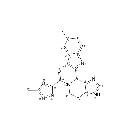 Cc1ccn2nc(C3c4nc[nH]c4CCN3C(=O)c3nnc(C)o3)cc2c1